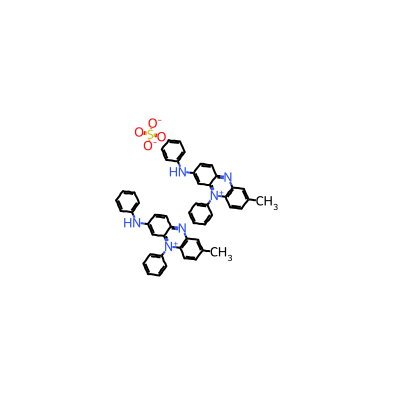 Cc1ccc2c(c1)nc1ccc(Nc3ccccc3)cc1[n+]2-c1ccccc1.Cc1ccc2c(c1)nc1ccc(Nc3ccccc3)cc1[n+]2-c1ccccc1.O=S(=O)([O-])[O-]